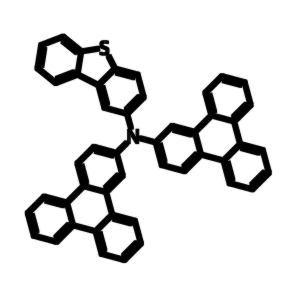 c1ccc2c(c1)sc1ccc(N(c3ccc4c5ccccc5c5ccccc5c4c3)c3ccc4c5ccccc5c5ccccc5c4c3)cc12